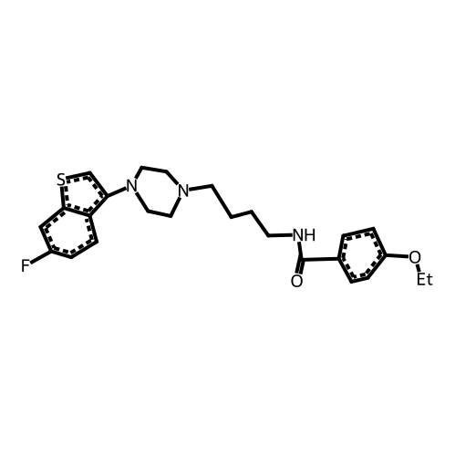 CCOc1ccc(C(=O)NCCCCN2CCN(c3csc4cc(F)ccc34)CC2)cc1